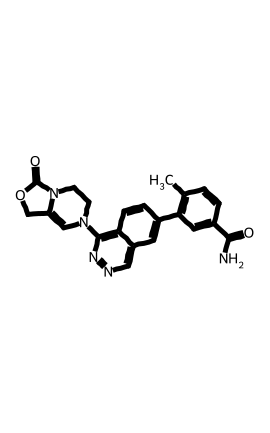 Cc1ccc(C(N)=O)cc1-c1ccc2c(N3C=C4COC(=O)N4CC3)nncc2c1